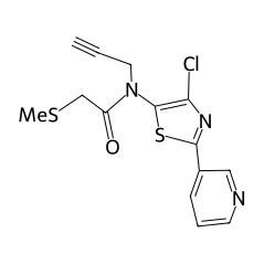 C#CCN(C(=O)CSC)c1sc(-c2cccnc2)nc1Cl